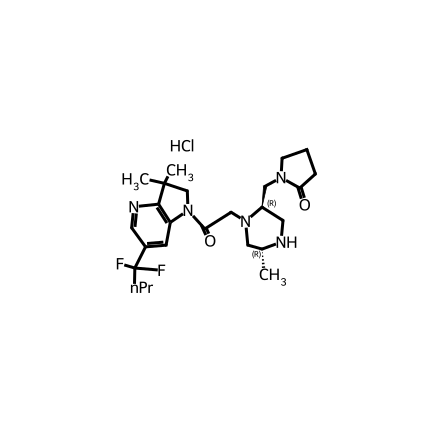 CCCC(F)(F)c1cnc2c(c1)N(C(=O)CN1C[C@@H](C)NC[C@@H]1CN1CCCC1=O)CC2(C)C.Cl